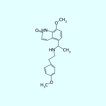 COc1ccc(CCNC(C)c2ccc(OC)c3[nH]c(=O)ccc23)cc1